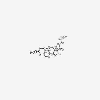 CC(=O)OC1CCC2(C)C(CCC3C2CCC2(C)C(C(C)CCCC(C)C)CCC32)C1